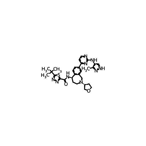 Cc1n[nH]cc1Nc1nccc(-c2ccc3c(c2)CN([C@@H]2CCOC2)CC[C@H]3NC(=O)c2nnc(C(C)(C)C)s2)n1